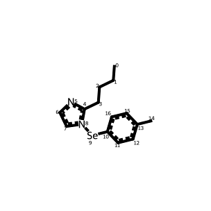 CCCCc1nccn1[Se]c1ccc(C)cc1